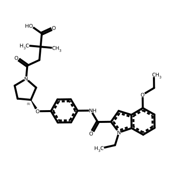 CCOc1cccc2c1cc(C(=O)Nc1ccc(O[C@H]3CCN(C(=O)CC(C)(C)C(=O)O)C3)cc1)n2CC